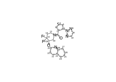 O=C(c1cscc1-n1nccn1)N1CCC(F)(F)C(Oc2ccc3ccccc3n2)C1